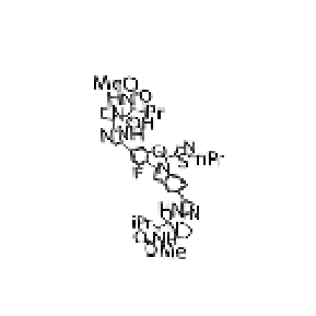 CCCc1ncc(C2Oc3cc(-c4cnc(C5CCCN5C(O)[C@@H](NC(=O)OC)C(C)C)[nH]4)cc(F)c3-c3cc4cc(-c5cnc([C@@H]6CCCN6C(=O)C(NC(=O)OC)C(C)C)[nH]5)ccc4n32)s1